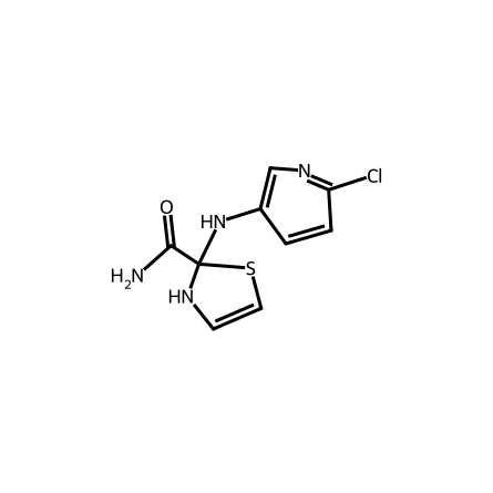 NC(=O)C1(Nc2ccc(Cl)nc2)NC=CS1